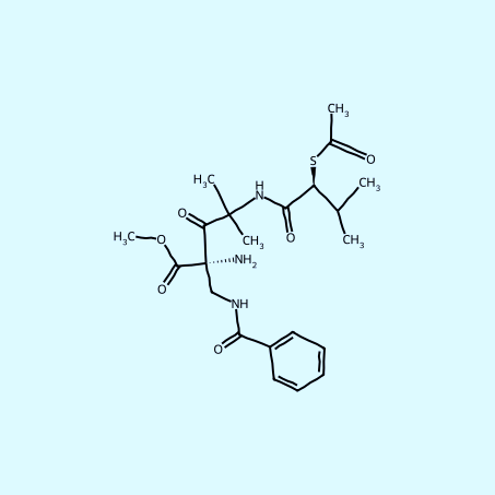 COC(=O)[C@](N)(CNC(=O)c1ccccc1)C(=O)C(C)(C)NC(=O)[C@@H](SC(C)=O)C(C)C